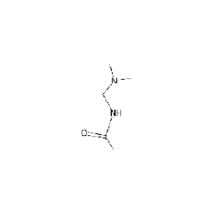 CC(=O)NCN(C)C